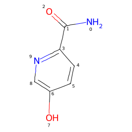 NC(=O)c1ccc(O)cn1